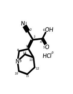 Cl.N#C/C(C(=O)O)=C1\CN2CCCC1C2